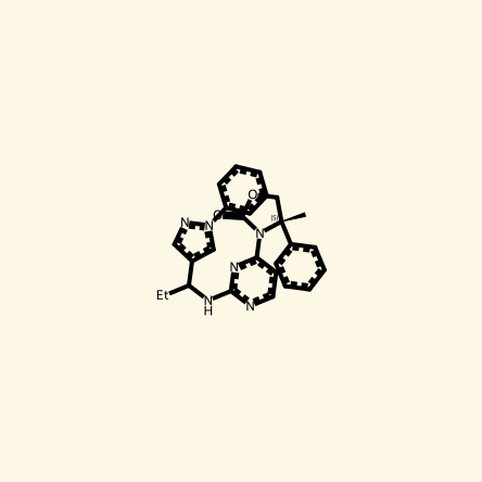 CCC(Nc1nccc(N2C(=O)OC[C@]2(C)c2ccccc2)n1)c1cnn(-c2ccccc2)c1